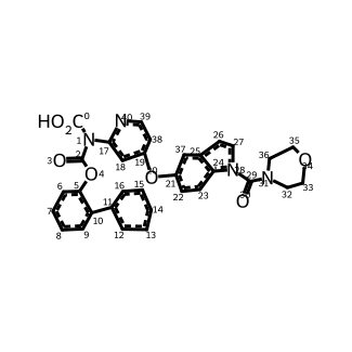 O=C(O)N(C(=O)Oc1ccccc1-c1ccccc1)c1cc(Oc2ccc3c(ccn3C(=O)N3CCOCC3)c2)ccn1